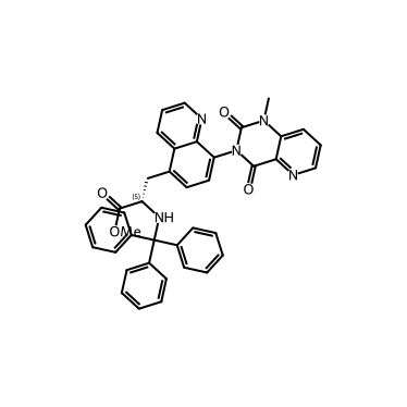 COC(=O)[C@H](Cc1ccc(-n2c(=O)c3ncccc3n(C)c2=O)c2ncccc12)NC(c1ccccc1)(c1ccccc1)c1ccccc1